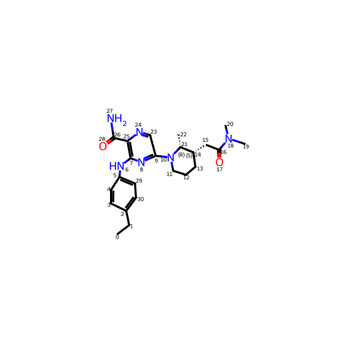 CCc1ccc(Nc2nc(N3CCC[C@@H](CC(=O)N(C)C)[C@H]3C)cnc2C(N)=O)cc1